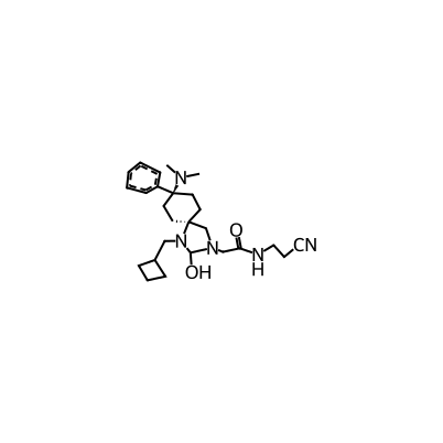 CN(C)[C@]1(c2ccccc2)CC[C@]2(CC1)CN(CC(=O)NCCC#N)C(O)N2CC1CCC1